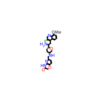 COc1cccc2c(C[C@@H](N)[C@@H]3CC[C@@H](NCc4ccc5c(n4)NC(=O)CO5)CO3)c(F)cnc12